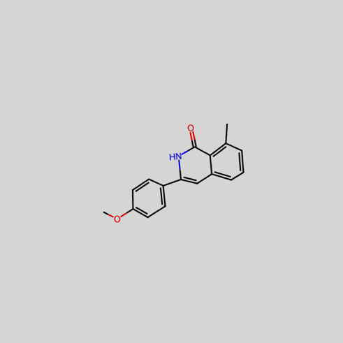 COc1ccc(-c2cc3cccc(C)c3c(=O)[nH]2)cc1